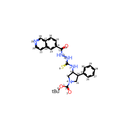 CC(C)(C)OC(=O)N1CC(NC(=S)NNC(=O)c2ccc3cnccc3c2)C(c2ccccc2)C1